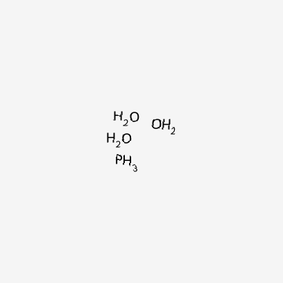 O.O.O.P